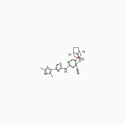 Cc1nc(C)c(-c2csc(Nc3ccc(C(=O)N4[C@@H]5CC[C@H]4C[C@@H](OCC#N)C5)cn3)n2)s1